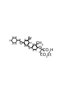 CCOC(=O)CC(Oc1ccc(Sc2cc(Br)cc(OCC3CCCCC3)c2)cc1C)C(=O)O